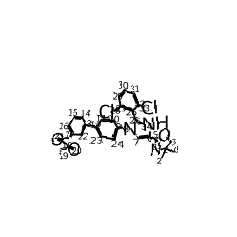 CC1(C)COC(C2=CN(c3ccc(-c4cccc(S(C)(=O)=O)c4)cc3)C(c3c(Cl)cccc3Cl)N2)=N1